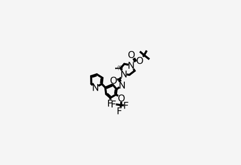 C[C@H]1CN(C(=O)OC(C)(C)C)CCN1c1nc2c(OC(F)(F)F)c(F)cc(-c3ccccn3)c2o1